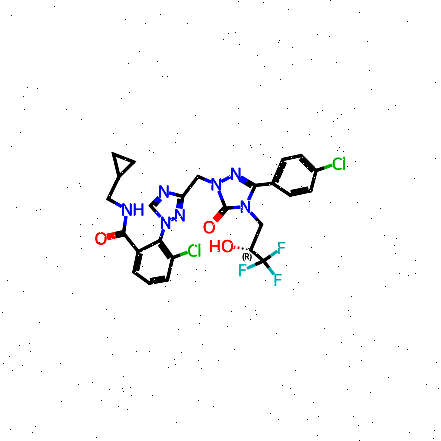 O=C(NCC1CC1)c1cccc(Cl)c1-n1cnc(Cn2nc(-c3ccc(Cl)cc3)n(C[C@@H](O)C(F)(F)F)c2=O)n1